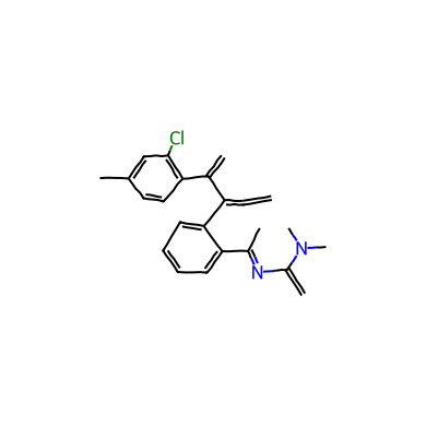 C=C=C(C(=C)c1ccc(C)cc1Cl)c1ccccc1/C(C)=N/C(=C)N(C)C